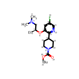 CC[C@@H](CN(C)C)Oc1cc(F)cnc1C1CCN(C(=O)OC(C)(C)C)CC1